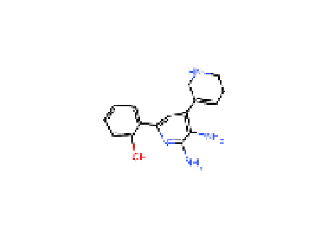 Nc1nc(-c2ccccc2O)cc(C2=CCCNC2)c1N